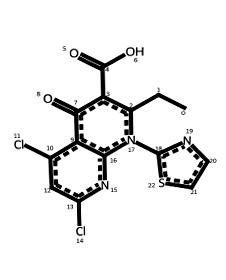 CCc1c(C(=O)O)c(=O)c2c(Cl)cc(Cl)nc2n1-c1nccs1